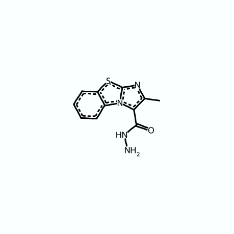 Cc1nc2sc3ccccc3n2c1C(=O)NN